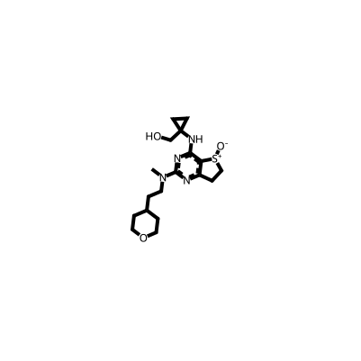 CN(CCC1CCOCC1)c1nc2c(c(NC3(CO)CC3)n1)[S+]([O-])CC2